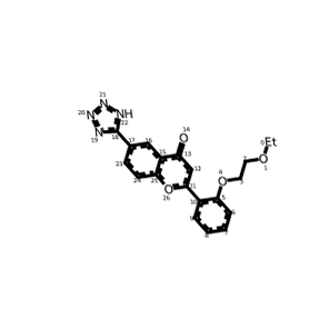 CCOCCOc1ccccc1-c1cc(=O)c2cc(-c3nnn[nH]3)ccc2o1